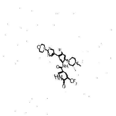 C[C@@H]1CN(c2cc(F)c(-c3cnc(N4CCOCC4)nc3)cc2NC(=O)c2c[nH]c(=O)c(C(F)(F)F)c2)CCN1C